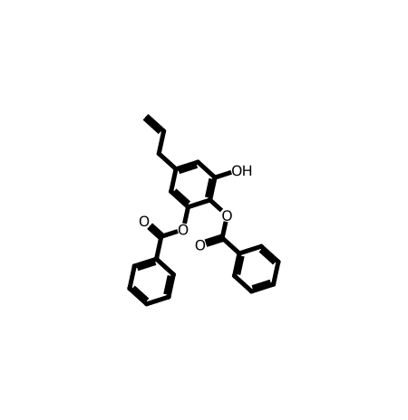 C=CCc1cc(O)c(OC(=O)c2ccccc2)c(OC(=O)c2ccccc2)c1